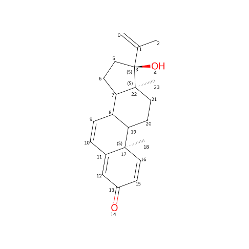 C=C(C)[C@@]1(O)CCC2C3C=CC4=CC(=O)C=C[C@]4(C)C3CC[C@@]21C